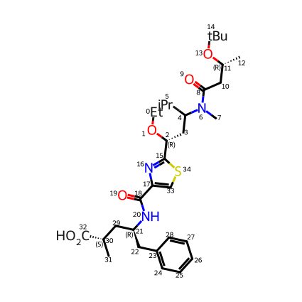 CCO[C@H](CC(C(C)C)N(C)C(=O)C[C@@H](C)OC(C)(C)C)c1nc(C(=O)N[C@@H](Cc2ccccc2)C[C@H](C)C(=O)O)cs1